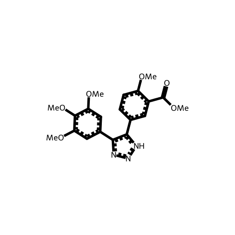 COC(=O)c1cc(-c2[nH]nnc2-c2cc(OC)c(OC)c(OC)c2)ccc1OC